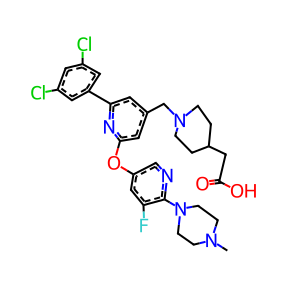 CN1CCN(c2ncc(Oc3cc(CN4CCC(CC(=O)O)CC4)cc(-c4cc(Cl)cc(Cl)c4)n3)cc2F)CC1